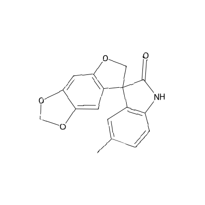 Cc1ccc2c(c1)C1(COc3cc4c(cc31)OCO4)C(=O)N2